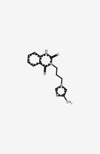 Cc1cn(CCCn2c(=S)[nH]c3ccccc3c2=O)cn1